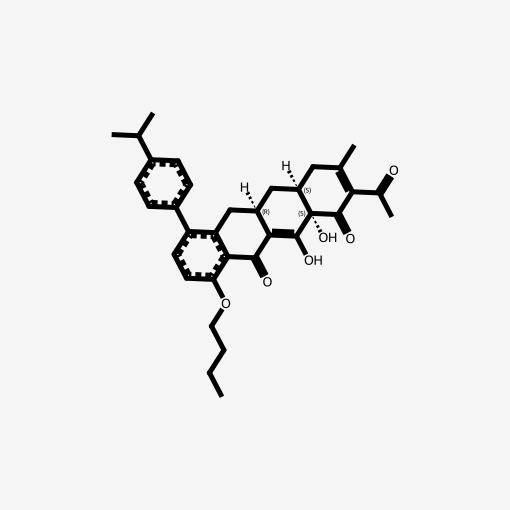 CCCCOc1ccc(-c2ccc(C(C)C)cc2)c2c1C(=O)C1=C(O)[C@]3(O)C(=O)C(C(C)=O)=C(C)C[C@@H]3C[C@@H]1C2